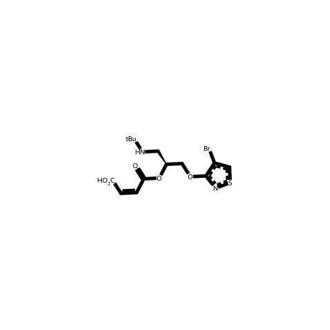 CC(C)(C)NC[C@@H](COc1nscc1Br)OC(=O)/C=C\C(=O)O